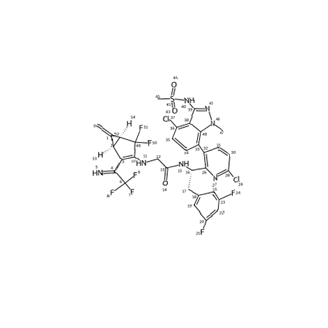 C=C1[C@@H]2C(C(=N)C(F)(F)F)=C(NCC(=O)N[C@@H](Cc3cc(F)cc(F)c3)c3nc(Cl)ccc3-c3ccc(Cl)c4c(NS(C)(=O)=O)nn(C)c34)C(F)(F)[C@H]12